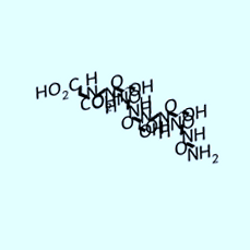 NCC(=O)NCC(=O)N[C@@H](CO)C(=O)NCC(=O)N[C@@H](CO)C(=O)NCC(=O)N[C@@H](CO)C(=O)NCC(=O)N[C@@H](CCC(=O)O)C(=O)O